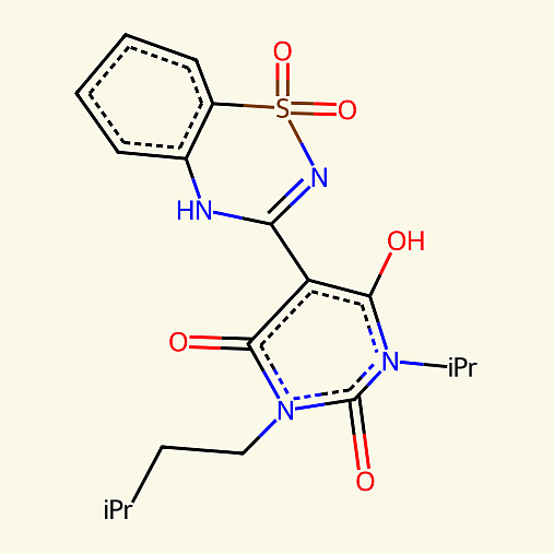 CC(C)CCn1c(=O)c(C2=NS(=O)(=O)c3ccccc3N2)c(O)n(C(C)C)c1=O